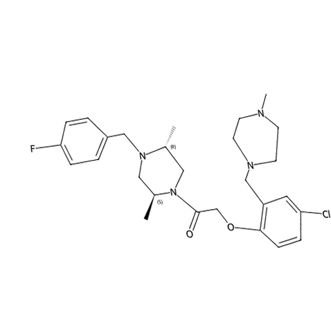 C[C@@H]1CN(C(=O)COc2ccc(Cl)cc2CN2CCN(C)CC2)[C@@H](C)CN1Cc1ccc(F)cc1